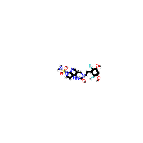 COc1cc(OC)c(F)c(CCN2Cc3cnc4c(ccn4S(=O)(=O)N(C)C)c3NC2=O)c1F